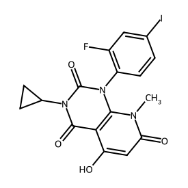 Cn1c(=O)cc(O)c2c(=O)n(C3CC3)c(=O)n(-c3ccc(I)cc3F)c21